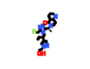 C=C/C(=C\n1c(CF)nnc1[C@@H](C)n1ccc2ncccc2c1=O)c1cnn(CCO)c1